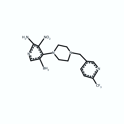 Bc1cnc(N)c([N+](=O)[O-])c1N1CCN(Cc2ccc(C(F)(F)F)nc2)CC1